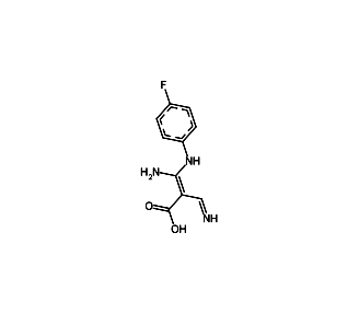 N=C/C(C(=O)O)=C(/N)Nc1ccc(F)cc1